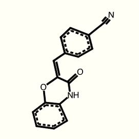 N#Cc1ccc(C=C2Oc3ccccc3NC2=O)cc1